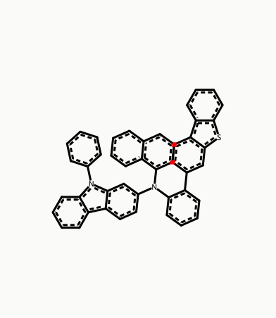 c1ccc(-n2c3ccccc3c3ccc(N(c4ccccc4-c4ccc5c(c4)sc4ccccc45)c4cccc5ccccc45)cc32)cc1